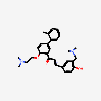 Cc1ccccc1-c1ccc(OCCN(C)C)c(C(=O)/C=C/c2ccc(O)c(CN(C)C)c2)c1